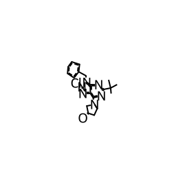 CC(C)(C)c1nc(N2CCC(=O)C2)c2nnn(Cc3ccccc3Cl)c2n1